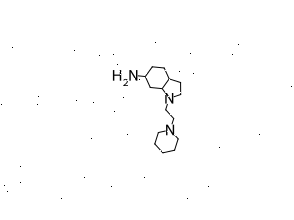 NC1CCC2CCN(CCN3CCCCC3)C2C1